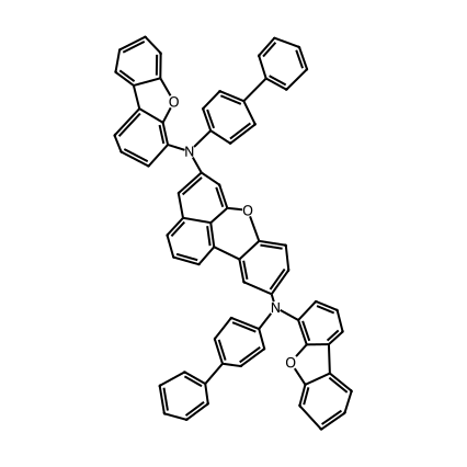 c1ccc(-c2ccc(N(c3ccc4c(c3)-c3cccc5cc(N(c6ccc(-c7ccccc7)cc6)c6cccc7c6oc6ccccc67)cc(c35)O4)c3cccc4c3oc3ccccc34)cc2)cc1